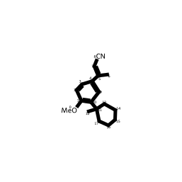 COc1ccc(C(C)=CC#N)cc1C1(C)CCCCC1